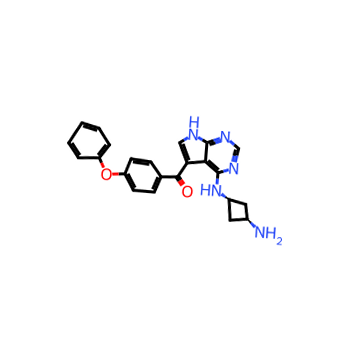 N[C@H]1C[C@@H](Nc2ncnc3[nH]cc(C(=O)c4ccc(Oc5ccccc5)cc4)c23)C1